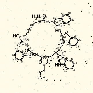 NCCCC[C@@H]1NC(=O)[C@@H](Cc2c[nH]c3ccccc23)NC(=O)[C@H](Cc2ccccc2)NC(=O)[C@H](Cc2ccccc2)NC(=O)[C@@H](N)CSSC[C@@H](C(=O)O)NC(=O)[C@H](Cc2ccccc2)NC1=O